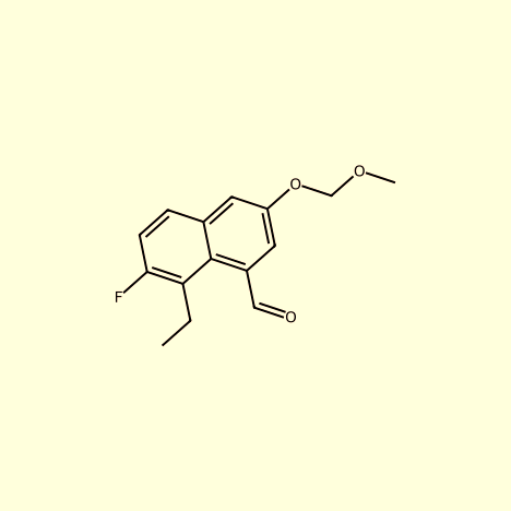 CCc1c(F)ccc2cc(OCOC)cc(C=O)c12